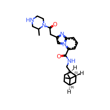 CC1CNCCN1C(=O)Cc1cn2c(C(=O)NC[C@@H]3CC[C@@H]4C[C@@H]3C4(C)C)cccc2n1